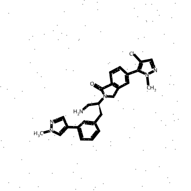 Cn1cc(-c2cccc(C[C@@H](CN)N3Cc4cc(-c5c(Cl)cnn5C)ccc4C3=O)c2)cn1